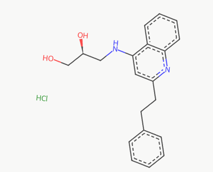 Cl.OC[C@@H](O)CNc1cc(CCc2ccccc2)nc2ccccc12